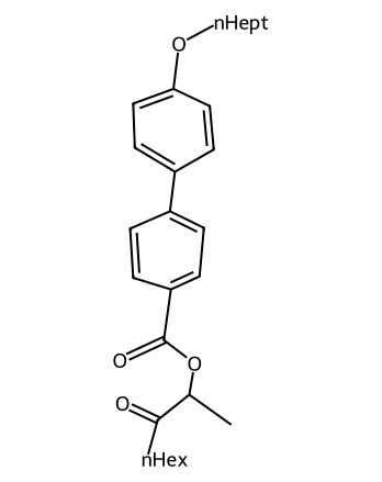 CCCCCCCOc1ccc(-c2ccc(C(=O)OC(C)C(=O)CCCCCC)cc2)cc1